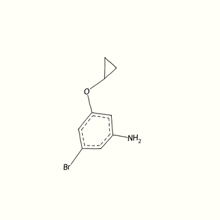 Nc1cc(Br)cc(OC2CC2)c1